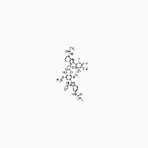 COc1cc(-c2nc3c(NC(C)=O)cccc3n2C2(C)COC2Oc2c(O)c(OC)cc(-c3nc4ccc(NC(C)=O)cc4n3C3(C)COC3)c2F)c(F)c(O)c1O